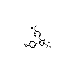 CNc1ccc(-n2nc(C(F)(F)F)cc2-c2ccc(SC)cc2)cc1